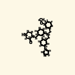 COc1cccc(CN(Cc2cccc(-n3ccnc3)c2)c2cccc(CN3CCNCC3=O)c2)c1